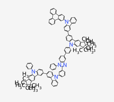 CC1(C)c2cc3c4cc(-c5ccc6c(c5)c5ccccc5n6-c5cccc(-c6nc7cc(-c8ccc(-n9c%10ccc(-c%11ccc%12c(c%11)c%11ccccc%11n%12-c%11ccc%12c%13ccccc%13c%13ccccc%13c%12c%11)cc%10c%10cc%11c(cc%109)C(C)(C)C(C)(C)C%11(C)C)cc8)ccc7n6-c6ccccc6)c5)ccc4n(-c4ccccc4)c3cc2C(C)(C)C1(C)C